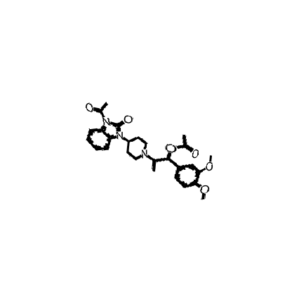 COc1ccc(C(OC(C)=O)C(C)N2CCC(n3c(=O)n(C(C)=O)c4ccccc43)CC2)cc1OC